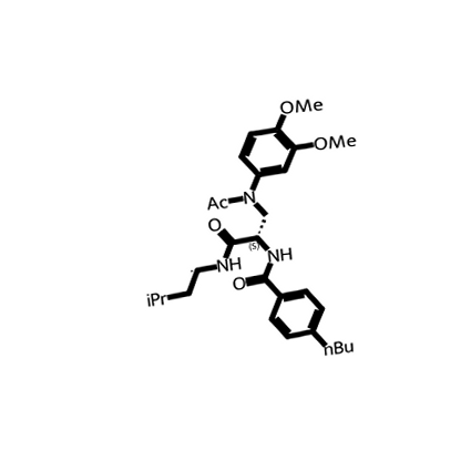 CCCCc1ccc(C(=O)N[C@@H](CN(C(C)=O)c2ccc(OC)c(OC)c2)C(=O)N[CH]CC(C)C)cc1